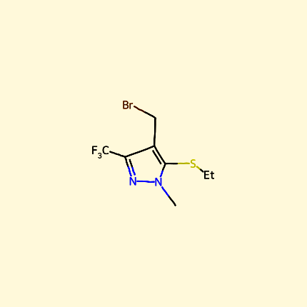 CCSc1c(CBr)c(C(F)(F)F)nn1C